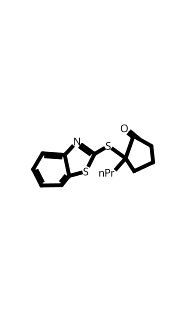 CCCC1(Sc2nc3ccccc3s2)CCCC1=O